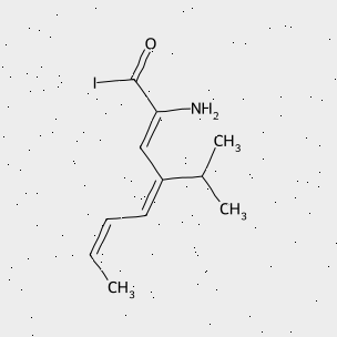 C\C=C/C=C(\C=C(/N)C(=O)I)C(C)C